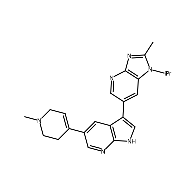 Cc1nc2ncc(-c3c[nH]c4ncc(C5=CCN(C)CC5)cc34)cc2n1C(C)C